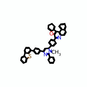 CN1C(c2ccccc2)=NC(c2ccc(-c3cccc4c3sc3ccccc34)cc2)=CC1c1ccc(-c2nc3ccc4ccccc4c3c3c4c(oc23)=CCCC=4)cc1